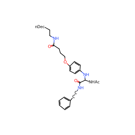 CCCCCCCCCCCCNC(=O)CCCOc1ccc(NC(NC(C)=O)C(=O)NCCc2ccccc2)cc1